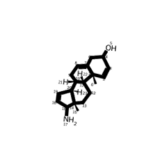 C[C@]12C=CC(O)CC1=CC[C@@H]1[C@H]2CC[C@]2(C)C(N)C=C[C@@H]12